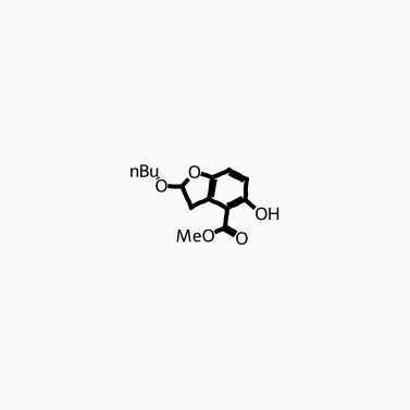 CCCCOC1Cc2c(ccc(O)c2C(=O)OC)O1